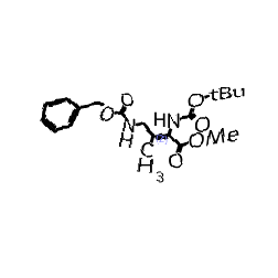 COC(=O)/C(NC(=O)OC(C)(C)C)=C(\C)CNC(=O)OCc1ccccc1